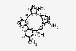 CCn1ncc2c1-c1cnc(N)c(c1)O[C@H](C)c1cc(C)ccc1-c1nocc1C2